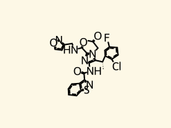 CC(=O)Cn1c(C(=O)NCc2ccon2)nc(NC(=O)c2nsc3ccccc23)c1[C@@H](C)c1cc(F)ccc1Cl